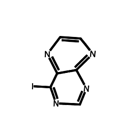 Ic1ncnc2nccnc12